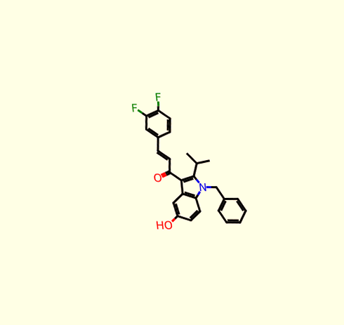 CC(C)c1c(C(=O)C=Cc2ccc(F)c(F)c2)c2cc(O)ccc2n1Cc1ccccc1